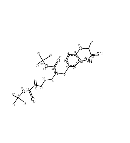 CC1Oc2ccc(CN(CCCNC(=O)OC(C)(C)C)C(=O)OC(C)(C)C)cc2NC1=S